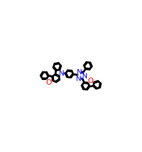 c1ccc(-c2nc(-c3ccc(-n4c5ccccc5c5c6c(ccc54)oc4ccccc46)cc3)nc(-c3cccc4c3oc3ccccc34)n2)cc1